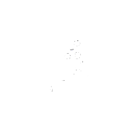 CC/C(=C(\c1ccccc1)c1ccc(OCCN(C)C(=O)CCCCCCCCCC(N)=O)cc1)c1ccccc1